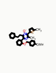 COc1ccc(COc2ccccc2-c2nc(C)c(-c3ccc(C)s3)[n+]([O-])c2CCc2ccccc2)cc1